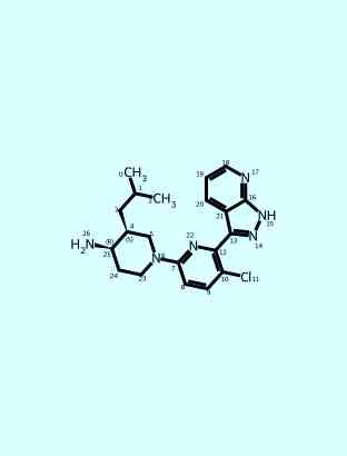 CC(C)C[C@H]1CN(c2ccc(Cl)c(-c3n[nH]c4ncccc34)n2)CC[C@H]1N